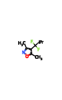 Cc1noc(C)c1C(F)(F)C(C)C